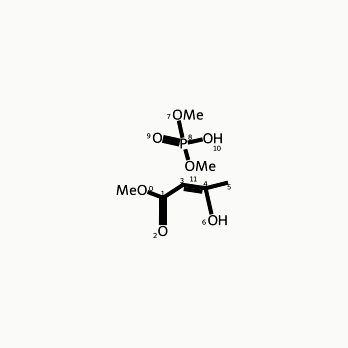 COC(=O)/C=C(/C)O.COP(=O)(O)OC